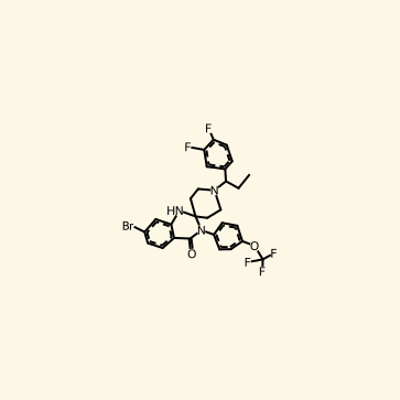 CCC(c1ccc(F)c(F)c1)N1CCC2(CC1)Nc1cc(Br)ccc1C(=O)N2c1ccc(OC(F)(F)F)cc1